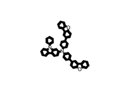 C1=CC(N(c2ccc(-c3ccc4oc5ccccc5c4c3)cc2)c2ccc3c4ccccc4n(-c4ccccc4)c3c2)CC=C1c1ccc2oc3ccccc3c2c1